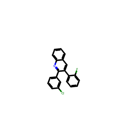 Fc1ccccc1-c1cc2ccccc2nc1-c1cccc(Cl)c1